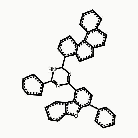 c1ccc(C2=NC(c3ccc(-c4ccccc4)c4oc5ccccc5c34)=NC(c3cccc4c3ccc3ccc5ccccc5c34)N2)cc1